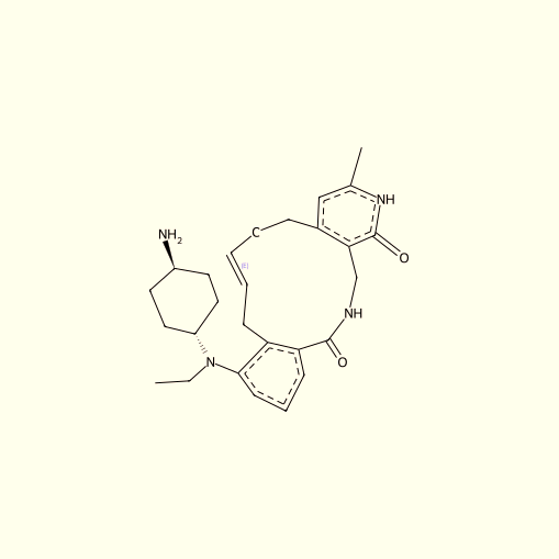 CCN(c1cccc2c1C/C=C/CCc1cc(C)[nH]c(=O)c1CNC2=O)[C@H]1CC[C@H](N)CC1